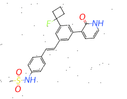 CS(=O)(=O)Nc1ccc(C=Cc2cc(-c3ccc[nH]c3=O)cc(C3(F)CCC3)c2)cc1